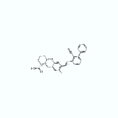 Cc1cc(CN2CCCC[C@H]2C(=O)O)c(O)cc1/C=C/c1cccc(-c2ccccc2)c1C#N